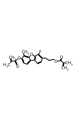 C=C(C)C(=O)OCCCc1ccc2c(oc3c(C)c(OC(=O)C(=C)C)ccc32)c1F